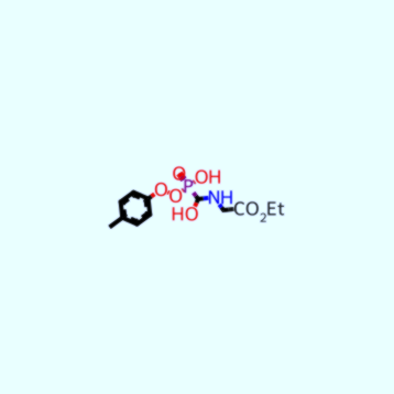 CCOC(=O)CNC(O)P(=O)(O)OOc1ccc(C)cc1